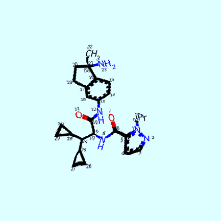 CC(C)n1nccc1C(=O)N[C@H](C(=O)Nc1ccc2c(c1)CC[C@]2(C)N)C(C1CC1)C1CC1